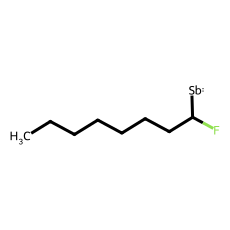 CCCCCCC[CH](F)[Sb]